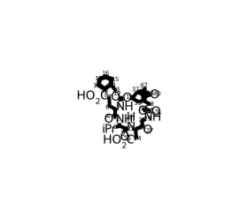 CC(C)C(NC(=O)C(CCC(=O)O)NC(=O)OCc1ccccc1)C(=O)NC(CC(=O)O)C(=O)CNS(=O)(=O)CC12CCC(CC1=O)C2(C)C